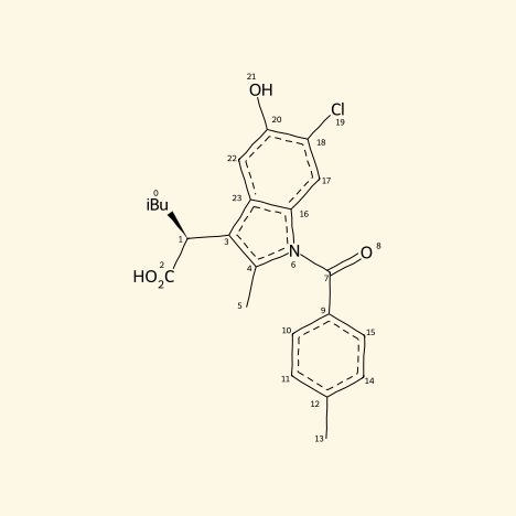 CCC(C)[C@H](C(=O)O)c1c(C)n(C(=O)c2ccc(C)cc2)c2cc(Cl)c(O)cc12